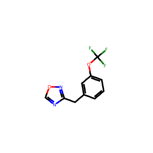 FC(F)(F)Oc1cccc(Cc2ncon2)c1